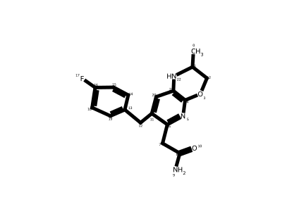 CC1COc2nc(CC(N)=O)c(Cc3ccc(F)cc3)cc2N1